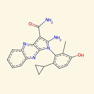 Cc1c(O)ccc(C2CC2)c1-n1c(N)c(C(N)=O)c2nc3ccccc3nc21